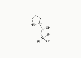 CC(C)[Si](C[C@@H](O)[C@@H]1CCCN1)(C(C)C)C(C)C